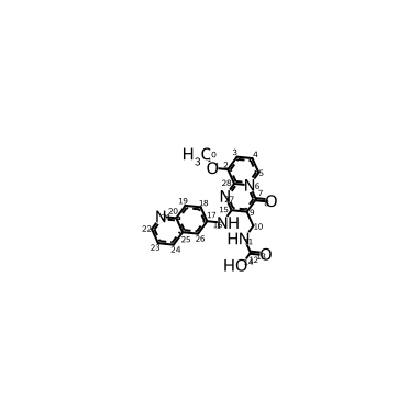 COc1cccn2c(=O)c(CNC(=O)O)c(Nc3ccc4ncccc4c3)nc12